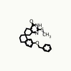 CSc1nc2c(c(=O)[nH]1)CCC1(CCCc3ccc(OCc4ccccc4)cc31)C2